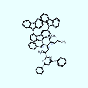 C=C/C=C(C=C)/C(=C/C(=C)c1nc(-c2ccccc2)cc(-c2ccccc2)n1)C(=C/c1ccccc1)/n1c2ccc(-n3c4ccccc4c4ccccc43)cc2c2c(-n3c4ccccc4c4ccccc43)cccc21